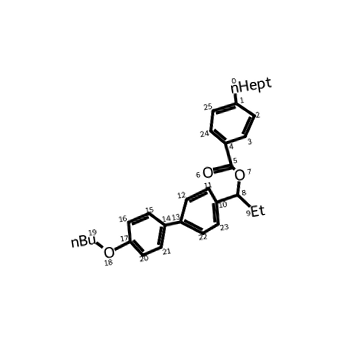 CCCCCCCc1ccc(C(=O)OC(CC)c2ccc(-c3ccc(OCCCC)cc3)cc2)cc1